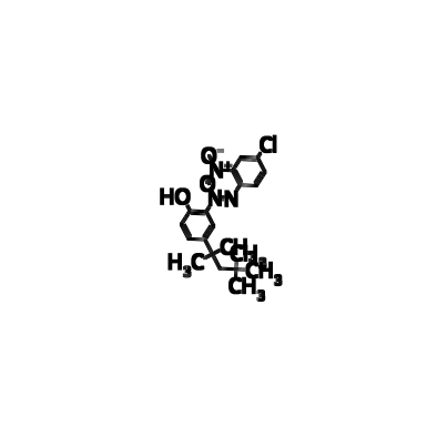 CC(C)(C)CC(C)(C)c1ccc(O)c(N=Nc2ccc(Cl)cc2[N+](=O)[O-])c1